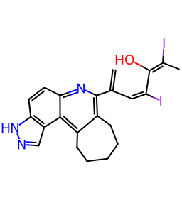 C=C(/C=C(I)\C(O)=C(/C)I)c1nc2ccc3[nH]ncc3c2c2c1CCCCC2